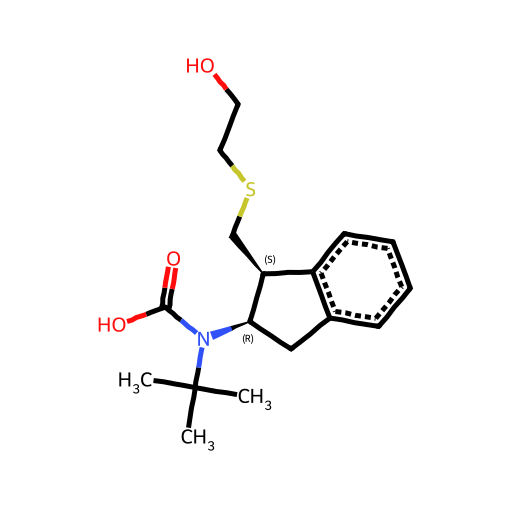 CC(C)(C)N(C(=O)O)[C@@H]1Cc2ccccc2[C@@H]1CSCCO